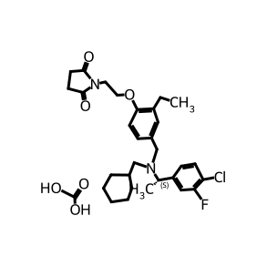 CCc1cc(CN(CC2CCCCC2)[C@@H](C)c2ccc(Cl)c(F)c2)ccc1OCCN1C(=O)CCC1=O.O=C(O)O